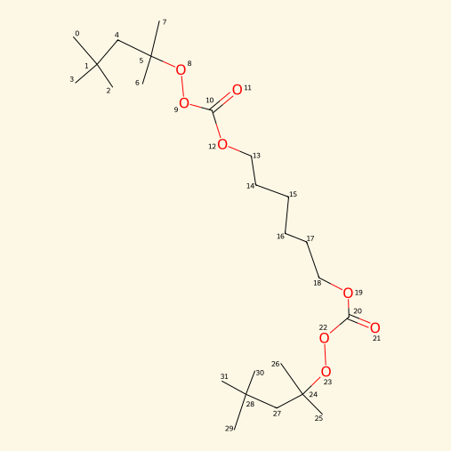 CC(C)(C)CC(C)(C)OOC(=O)OCCCCCCOC(=O)OOC(C)(C)CC(C)(C)C